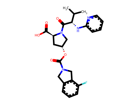 CC(C)[C@H](Nc1ccccn1)C(=O)N1C[C@H](OC(=O)N2Cc3cccc(F)c3C2)C[C@H]1C(=O)O